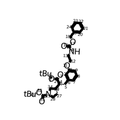 CC(C)(C)OC(=O)[C@H](Cc1cccc(OCCNC(=O)OCc2ccccc2)c1)[C@@H]1CCN(C(=O)OC(C)(C)C)C1